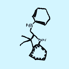 CC1(C)c2ccccc2NC1NC1=CCCC=C1